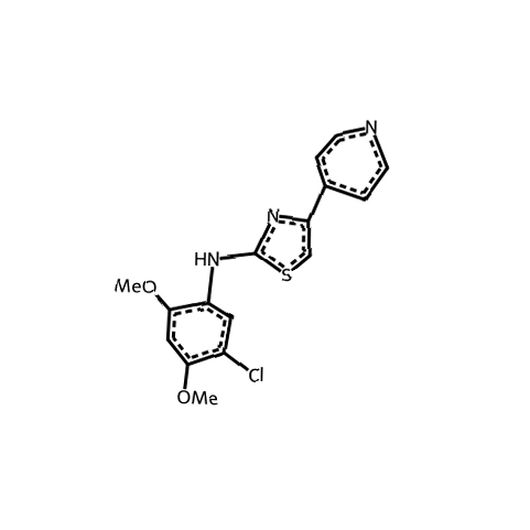 COc1cc(OC)c(Nc2nc(-c3ccncc3)cs2)cc1Cl